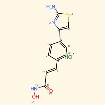 Cl.Nc1nc(-c2ccc(C=CC(=O)NO)cc2)cs1